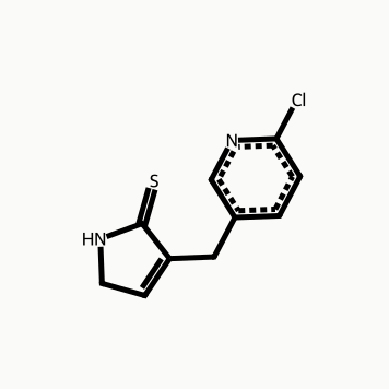 S=C1NCC=C1Cc1ccc(Cl)nc1